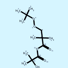 CC(C)(C)OOCC(C)(C)C(=O)OC(=O)C(C)(C)C